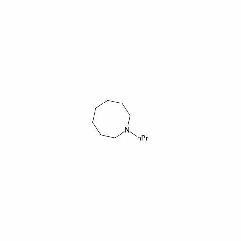 CCCN1CCCCCCC1